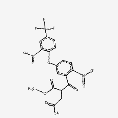 COC(=O)C(CC(C)=O)C(=O)c1cc(Oc2ccc(C(F)(F)F)cc2[N+](=O)[O-])ccc1[N+](=O)[O-]